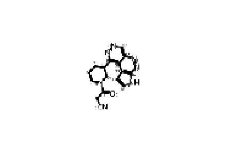 N#CCC(=O)N1CCCC(c2nncc3nnc4[nH]ccc4c23)C1